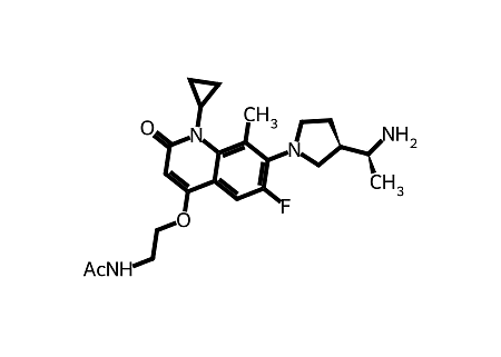 CC(=O)NCCOc1cc(=O)n(C2CC2)c2c(C)c(N3CC[C@@H]([C@H](C)N)C3)c(F)cc12